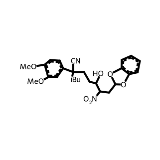 CCC(C)C(C#N)(CCC(O)C(CC1Oc2ccccc2O1)[N+](=O)[O-])c1ccc(OC)c(OC)c1